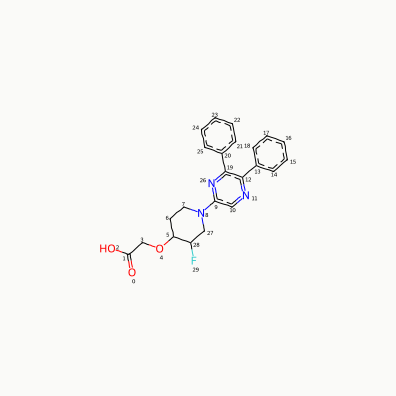 O=C(O)COC1CCN(c2cnc(-c3ccccc3)c(-c3ccccc3)n2)CC1F